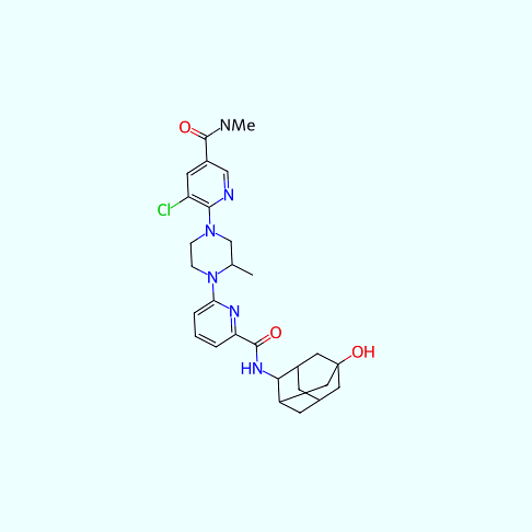 CNC(=O)c1cnc(N2CCN(c3cccc(C(=O)NC4C5CC6CC4CC(O)(C6)C5)n3)C(C)C2)c(Cl)c1